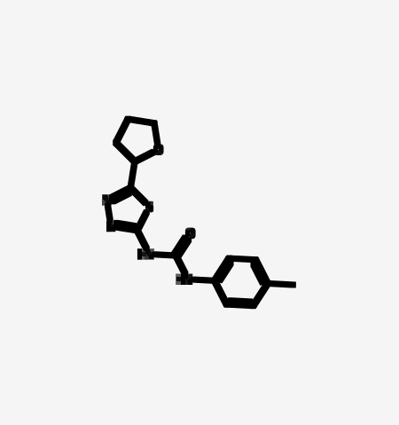 Cc1ccc(NC(=O)Nc2nnc(C3CCCO3)s2)cc1